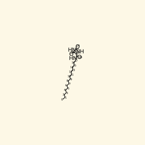 CCCCCCCCCCCCCCCCCCNC(=O)C1NC(=O)NC1=O